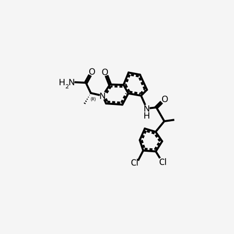 CC(C(=O)Nc1cccc2c(=O)n([C@H](C)C(N)=O)ccc12)c1ccc(Cl)c(Cl)c1